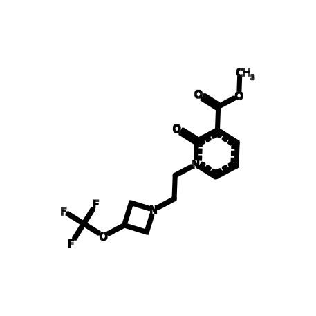 COC(=O)c1cccn(CCN2CC(OC(F)(F)F)C2)c1=O